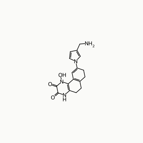 NCc1ccn(C2=CC3=C(CC2)CCc2[nH]c(=O)c(=O)n(O)c23)c1